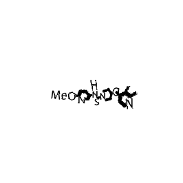 COc1ccc(NC(=S)N2CCC(Oc3ccnc(C)c3C)CC2)cn1